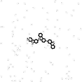 c1ccc2c(c1)sc1ccc(-c3ccc4c(c3)c3ccccc3n4-c3ccc4sc5cnccc5c4c3)cc12